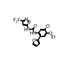 CCOc1cc(-c2ccco2)c(NC(=O)Nc2cc(C(F)(F)F)no2)cc1Cl